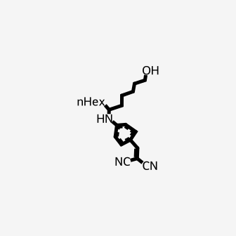 CCCCCCC(CCCCCO)Nc1ccc(C=C(C#N)C#N)cc1